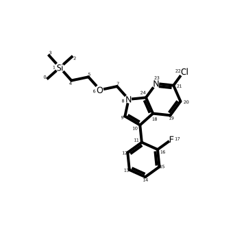 C[Si](C)(C)CCOCn1cc(-c2ccccc2F)c2ccc(Cl)nc21